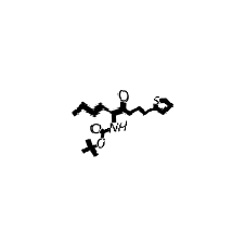 CCCC[C@H](NC(=O)OC(C)(C)C)C(=O)CCCc1cccs1